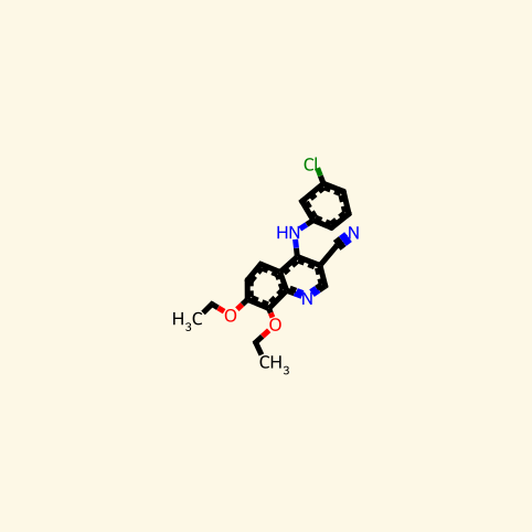 CCOc1ccc2c(Nc3cccc(Cl)c3)c(C#N)cnc2c1OCC